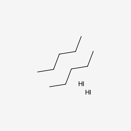 CCCCC.CCCCC.I.I